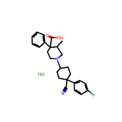 CC1CN(C2CCC(C#N)(c3ccc(F)cc3)CC2)CCC1(C(=O)O)c1ccccc1.Cl